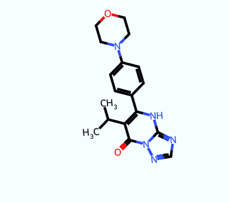 CC(C)c1c(-c2ccc(N3CCOCC3)cc2)[nH]c2ncnn2c1=O